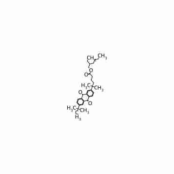 CCCCC(CC)COC(=O)CCCC(C)(C)c1ccc2c(c1)C(=O)c1ccc(C(C)(C)C)cc1C2=O